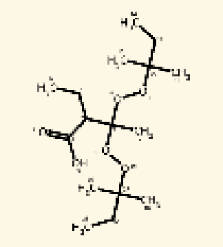 CCC(C(=O)O)C(C)(OOC(C)(C)CC)OOC(C)(C)CC